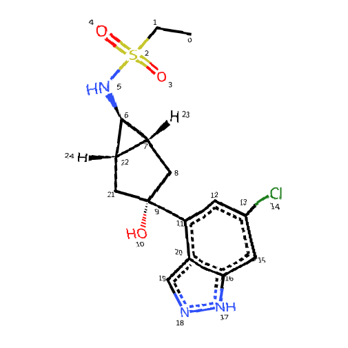 CCS(=O)(=O)N[C@H]1[C@@H]2C[C@@](O)(c3cc(Cl)cc4[nH]ncc34)C[C@@H]21